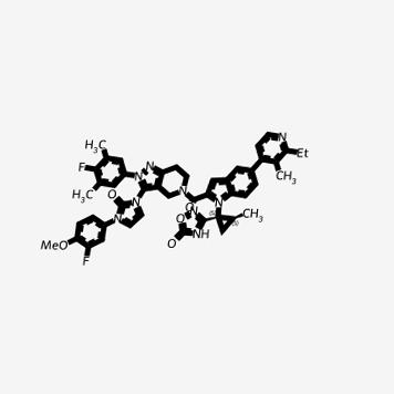 CCc1nccc(-c2ccc3c(c2)cc(C(=O)N2CCc4nn(-c5cc(C)c(F)c(C)c5)c(-n5ccn(-c6ccc(OC)c(F)c6)c5=O)c4C2)n3[C@@]2(c3noc(=O)[nH]3)C[C@@H]2C)c1C